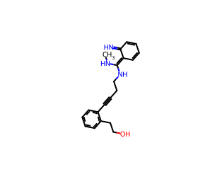 CN/C(NCCC#Cc1ccccc1CCO)=C1/C=CC=CC1=N